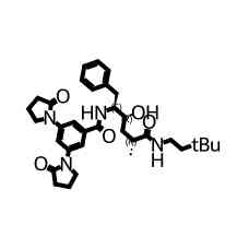 C[C@H](C[C@@H](O)[C@H](Cc1ccccc1)NC(=O)c1cc(N2CCCC2=O)cc(N2CCCC2=O)c1)C(=O)NCCC(C)(C)C